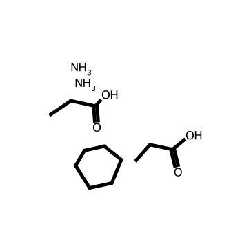 C1CCCCC1.CCC(=O)O.CCC(=O)O.N.N